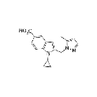 Cc1ccnn1Cc1cc2cc(C(=O)O)ccc2n1C1CC1